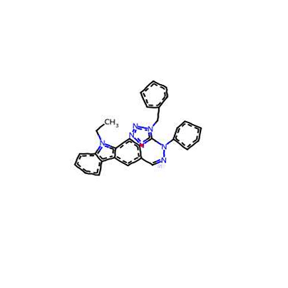 CCn1c2ccccc2c2cc(/C=N\N(c3ccccc3)c3nnnn3Cc3ccccc3)ccc21